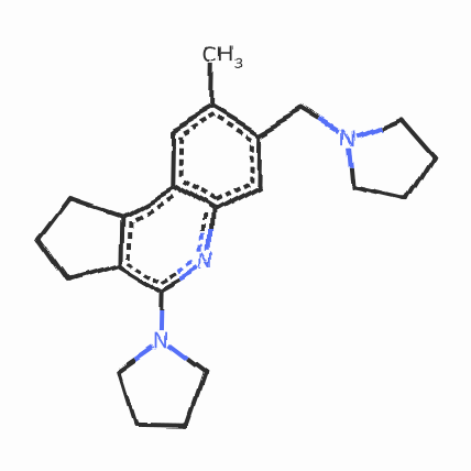 Cc1cc2c3c(c(N4CCCC4)nc2cc1CN1CCCC1)CCC3